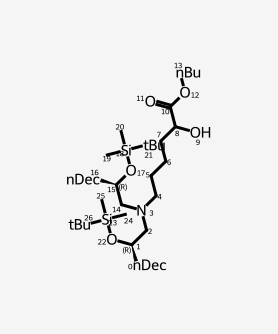 CCCCCCCCCC[C@H](CN(CCCCC(O)C(=O)OCCCC)C[C@@H](CCCCCCCCCC)O[Si](C)(C)C(C)(C)C)O[Si](C)(C)C(C)(C)C